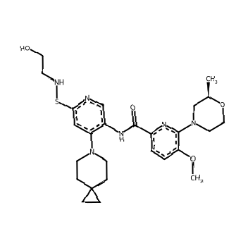 COc1ccc(C(=O)Nc2cnc(SNCCO)cc2N2CCC3(CC2)CC3)nc1N1CCO[C@H](C)C1